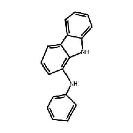 c1ccc(Nc2cccc3c2[nH]c2ccccc23)cc1